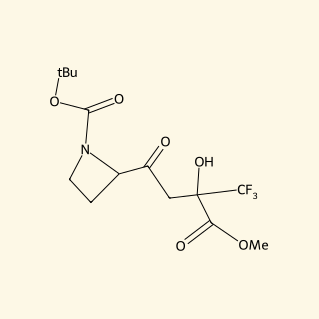 COC(=O)C(O)(CC(=O)C1CCN1C(=O)OC(C)(C)C)C(F)(F)F